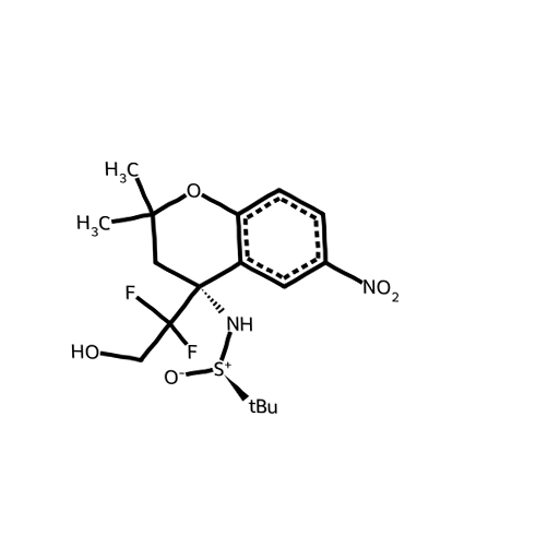 CC1(C)C[C@](N[S@+]([O-])C(C)(C)C)(C(F)(F)CO)c2cc([N+](=O)[O-])ccc2O1